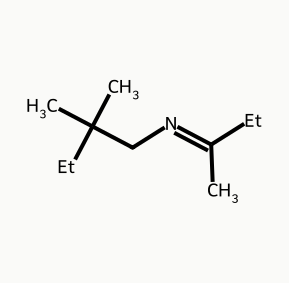 CC/C(C)=N/CC(C)(C)CC